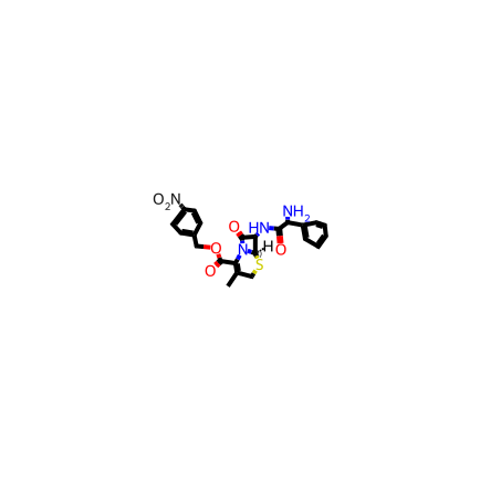 CC1=C(C(=O)OCc2ccc([N+](=O)[O-])cc2)N2C(=O)C(NC(=O)C(N)c3ccccc3)[C@H]2SC1